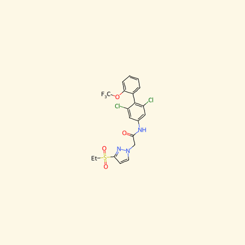 CCS(=O)(=O)c1ccn(CC(=O)Nc2cc(Cl)c(-c3ccccc3OC(F)(F)F)c(Cl)c2)n1